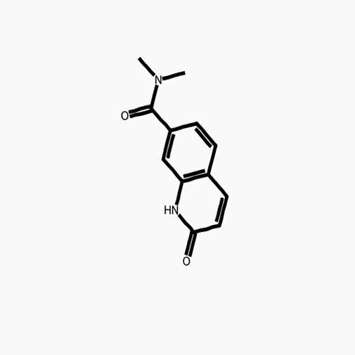 CN(C)C(=O)c1ccc2ccc(=O)[nH]c2c1